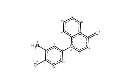 Nc1cc(-n2ccc(=O)c3ccccc32)ccc1Cl